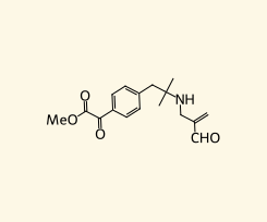 C=C(C=O)CNC(C)(C)Cc1ccc(C(=O)C(=O)OC)cc1